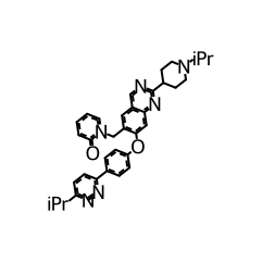 CC(C)c1ccc(-c2ccc(Oc3cc4nc(C5CCN(C(C)C)CC5)ncc4cc3Cn3ccccc3=O)cc2)nn1